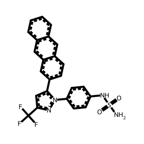 NS(=O)(=O)Nc1ccc(-n2nc(C(F)(F)F)cc2-c2ccc3cc4ccccc4cc3c2)cc1